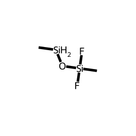 C[SiH2]O[Si](C)(F)F